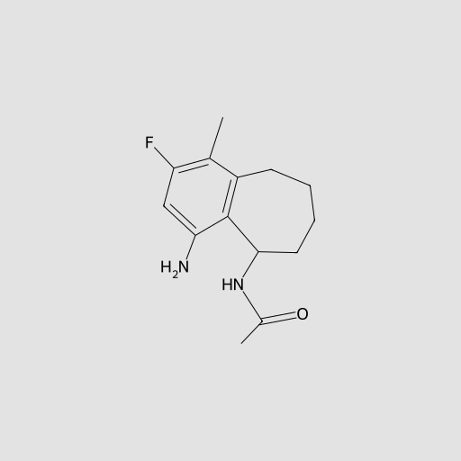 CC(=O)NC1CCCCc2c(C)c(F)cc(N)c21